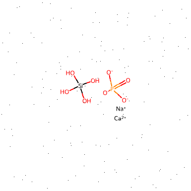 O=P([O-])([O-])[O-].O[Si](O)(O)O.[Ca+2].[Na+]